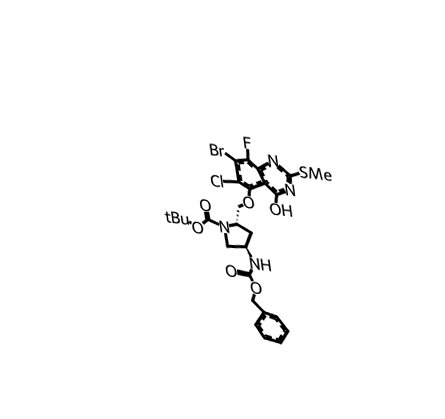 CSc1nc(O)c2c(OC[C@@H]3C[C@@H](NC(=O)OCc4ccccc4)CN3C(=O)OC(C)(C)C)c(Cl)c(Br)c(F)c2n1